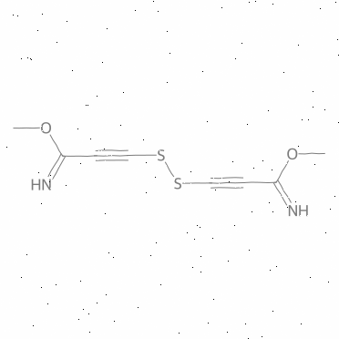 COC(=N)C#CSSC#CC(=N)OC